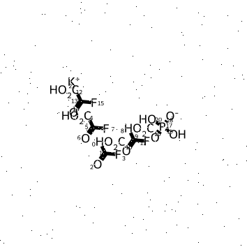 O=C(O)C(=O)F.O=C(O)C(=O)F.O=C(O)C(=O)F.O=C(O)C(=O)F.O=P([O-])(O)O.[K+]